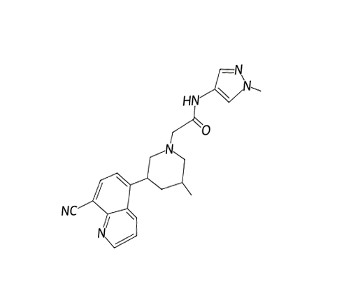 CC1CC(c2ccc(C#N)c3ncccc23)CN(CC(=O)Nc2cnn(C)c2)C1